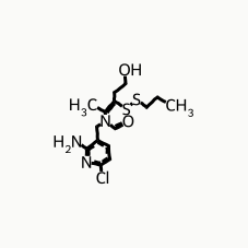 CCCSS/C(CCO)=C(/C)N(C=O)Cc1ccc(Cl)nc1N